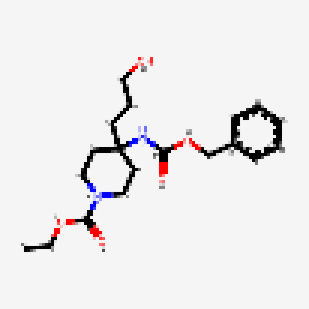 CCOC(=O)N1CCC(CCCO)(NC(=O)OCc2ccccc2)CC1